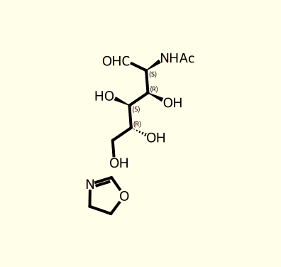 C1=NCCO1.CC(=O)N[C@H](C=O)[C@@H](O)[C@H](O)[C@H](O)CO